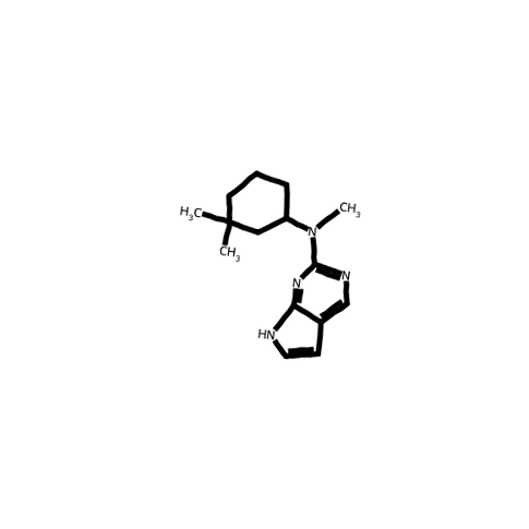 CN(c1ncc2cc[nH]c2n1)C1CCCC(C)(C)C1